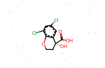 O=C(O)[C@@]1(O)CCOc2c(Cl)cc(Cl)cc21